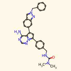 CN(C)C(=O)NCc1ccc(-c2cc(-c3ccc4cn(Cc5ccccc5)nc4c3)c3c(N)ncnn23)cc1